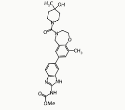 COC(=O)Nc1nc2ccc(-c3cc(C)c4c(c3)CN(C(=O)N3CCC(C)(O)CC3)CCO4)cc2[nH]1